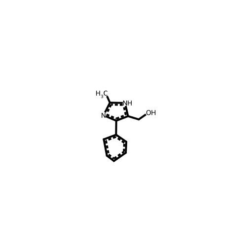 Cc1nc(-c2ccccc2)c(CO)[nH]1